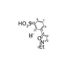 CC[n+]1ccc(-c2cccc(S(=O)(=O)O)c2)o1.[H-]